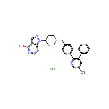 Cl.N#Cc1cnc(-c2ccc(CN3CCC(n4ncc5c(O)ncnc54)CC3)cc2)c(-c2ccccc2)c1